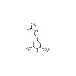 CC(=S)NCCCCC(NC(C)=S)C(=O)O